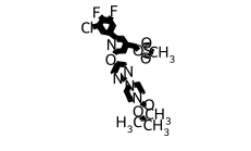 CC(C)(C)OC(=O)N1CCN(c2ncc(Oc3cc(COS(C)(=O)=O)cc(-c4cc(F)c(F)c(Cl)c4)n3)cn2)CC1